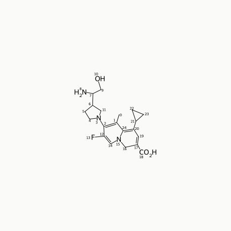 CC1=C(N2CCC(C(N)CO)C2)C(F)=CN2CC(C(=O)O)=CC(C3CC3)=C12